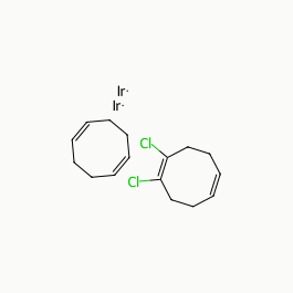 C1=C\CC/C=C\CC/1.Cl/C1=C(\Cl)CC/C=C\CC1.[Ir].[Ir]